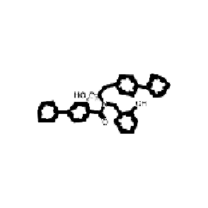 O=C(O)[C@H](Cc1ccc(-c2ccccc2)cc1)N(Cc1ccccc1O)C(=O)c1ccc(-c2ccccc2)cc1